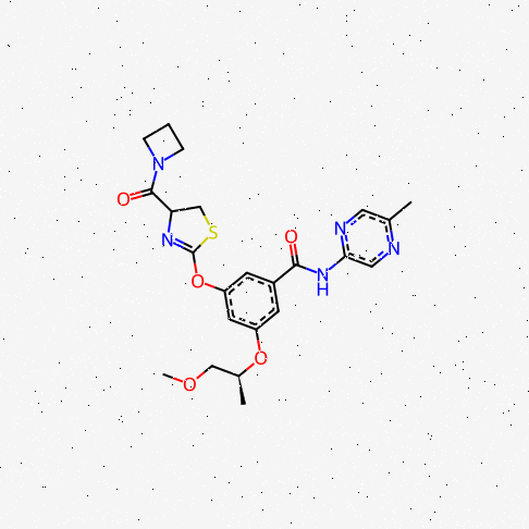 COC[C@H](C)Oc1cc(OC2=NC(C(=O)N3CCC3)CS2)cc(C(=O)Nc2cnc(C)cn2)c1